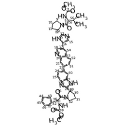 COC(=O)N[C@H](C(=O)N1CCC[C@H]1c1ncc(-c2cnc3cc(-c4ccc5nc([C@@H]6CCCN6C(=O)[C@H](NC(=O)OC)c6ccccc6)[nH]c5c4)ccc3c2)[nH]1)C(C)C